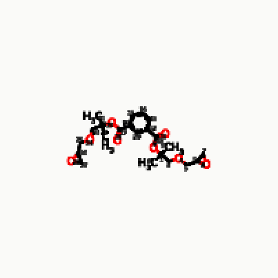 CC(C)(COCC1CO1)OC(=O)c1cccc(C(=O)OC(C)(C)COCC2CO2)c1